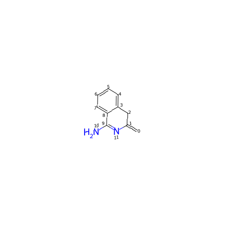 C=C1Cc2ccccc2C(N)=N1